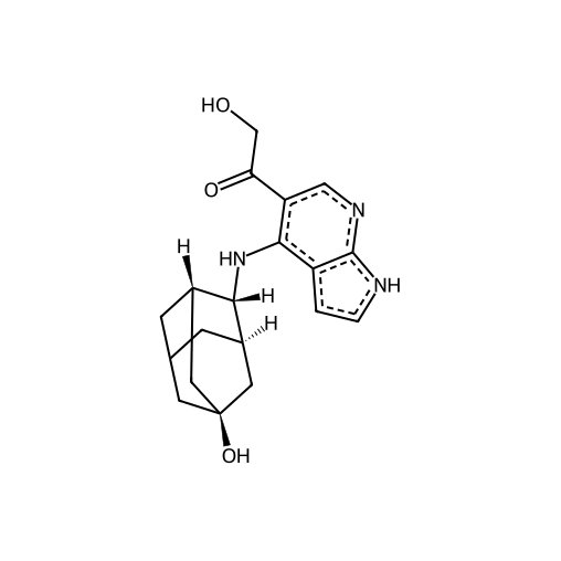 O=C(CO)c1cnc2[nH]ccc2c1N[C@@H]1[C@@H]2CC3C[C@H]1C[C@@](O)(C3)C2